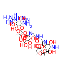 CN[C@H]1C(O)[C@H]2O[C@@H]3O[C@H](C)CC(=O)[C@]3(O)O[C@@H]2[C@@H](N(C)CCC(=O)NCCN(C)C2C(OC3[C@H](OC4[C@@H](NC(=N)N)C(O)C(NC(=N)N)[C@H](O)[C@@H]4O)O[C@@H](C)[C@@]3(O)CO)OC(CO)[C@H](O)[C@@H]2O)[C@H]1O